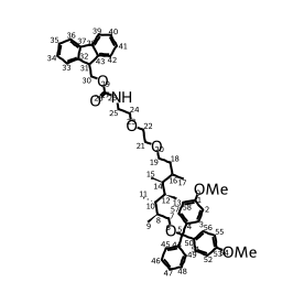 COc1ccc(C(OC[C@@H](C)[C@H](C)[C@H](C)[C@@H](C)C(C)CCOCCOCCNC(=O)OCC2c3ccccc3-c3ccccc32)(c2ccccc2)c2ccc(OC)cc2)cc1